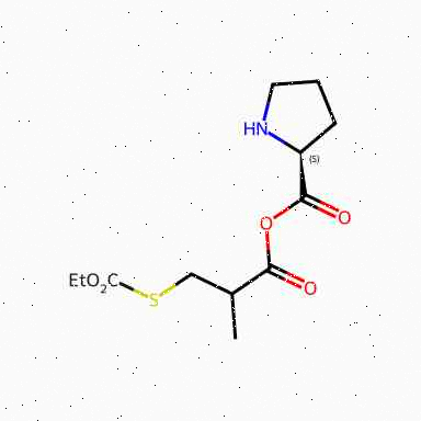 CCOC(=O)SCC(C)C(=O)OC(=O)[C@@H]1CCCN1